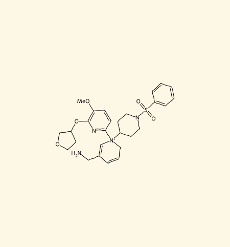 COc1ccc([N+]2(C3CCN(S(=O)(=O)c4ccccc4)CC3)C=C(CN)C=CC2)nc1OC1CCOC1